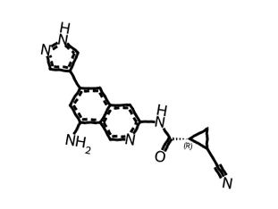 N#CC1C[C@H]1C(=O)Nc1cc2cc(-c3cn[nH]c3)cc(N)c2cn1